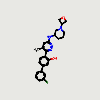 Cc1cc(NC2CCCN(C3COC3)C2)nnc1-c1ccc(-c2cccc(F)c2)cc1O